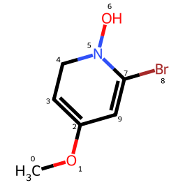 COC1=CCN(O)C(Br)=C1